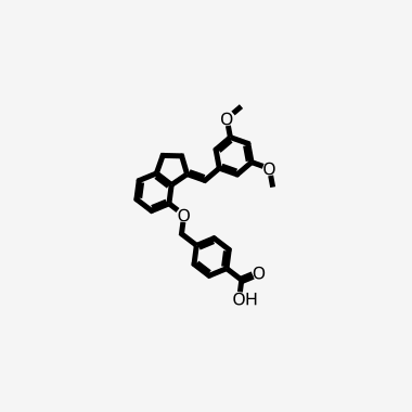 COc1cc(/C=C2\CCc3cccc(OCc4ccc(C(=O)O)cc4)c32)cc(OC)c1